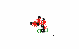 CC(C)COS(=O)(=O)c1ccc(Oc2ccc(C(=O)c3cc(Cl)ccc3Cl)cc2S(=O)(=O)OCC(C)C)c(S(=O)(=O)OCC(C)(C)C)c1